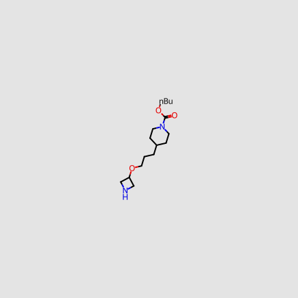 CCCCOC(=O)N1CCC(CCCOC2CNC2)CC1